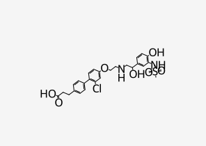 CS(=O)(=O)Nc1cc([C@@H](O)CNCCOc2ccc(-c3ccc(CCC(=O)O)cc3)c(Cl)c2)ccc1O